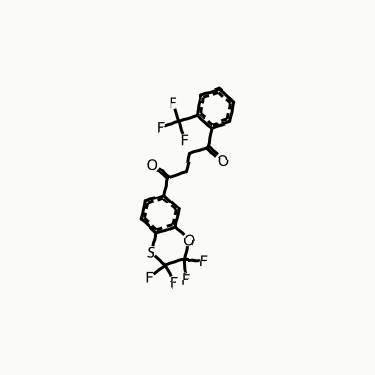 O=C(CCC(=O)c1ccccc1C(F)(F)F)c1ccc2c(c1)OC(F)(F)C(F)(F)S2